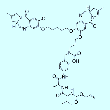 C=CCOC(=O)N[C@H](C(=O)N[C@@H](C)C(=O)Nc1ccc(CN(CCCOc2cc3c(cc2OCCCCCOc2cc4c(cc2OC)C(=O)N2C=C(C)C[C@H]2C=N4)N=C[C@@H]2CC(C)=CN2C3=O)C(=O)O)cc1)C(C)C